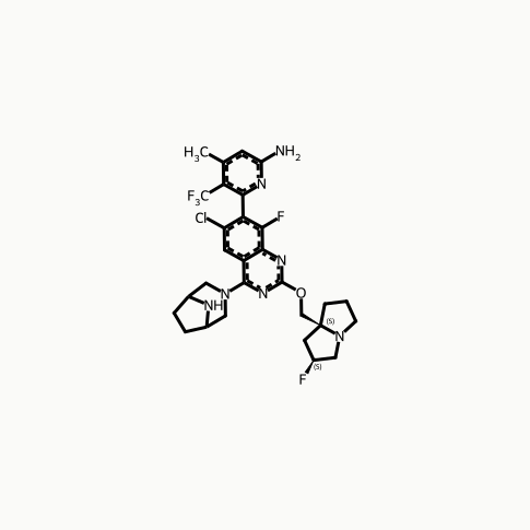 Cc1cc(N)nc(-c2c(Cl)cc3c(N4CC5CCC(C4)N5)nc(OC[C@@]45CCCN4C[C@@H](F)C5)nc3c2F)c1C(F)(F)F